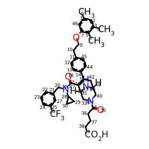 Cc1cc(C)c(C)c(OCCc2ccc(C3=C(C(=O)N(Cc4cccc(C(F)(F)F)c4)C4CC4)[C@H]4CN(C(=O)CCCC(=O)O)C[C@@H](C3)N4)cc2)c1